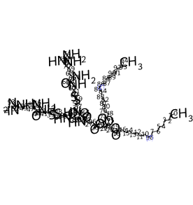 CCCCCCCC/C=C\CCCCCCCC(=O)OC[C@H](COC(=O)CCC(=O)NC(CC(=O)NCCSSCCNC(=O)C(N)CCCNC(=N)N)C(=O)NCCSSCCNC(=O)C(N)CCCNC(=N)N)OC(=O)CCCCCCC/C=C\CCCCCCCC